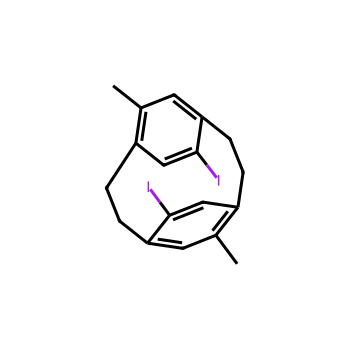 Cc1cc2c(I)cc1CCc1cc(C)c(cc1I)CC2